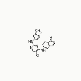 Cn1cc(Nc2ncc(Cl)c(Nc3ccc4[nH]ncc4c3)n2)cn1